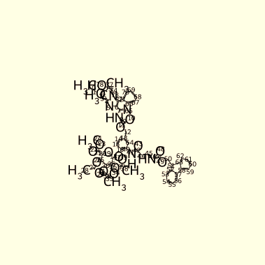 CCOCc1nc2c(NC(=O)OCc3ccc(O[C@@H]4O[C@H](C(=O)OC)[C@@H](OC(C)=O)[C@H](OC(C)=O)[C@H]4OC(C)=O)c(NC(=O)CCNC(=O)OCC4c5ccccc5-c5ccccc54)c3)nc3ccccc3c2n1CC(C)(C)O